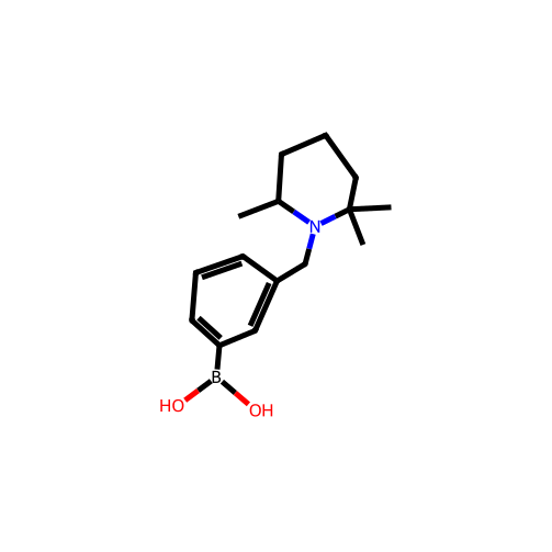 CC1CCCC(C)(C)N1Cc1cccc(B(O)O)c1